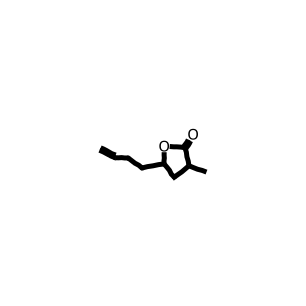 C=CCCC1CC(C)C(=O)O1